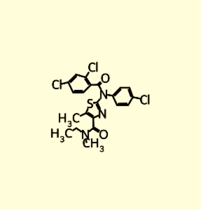 CCN(C)C(=O)c1nc(N(C(=O)c2ccc(Cl)cc2Cl)c2ccc(Cl)cc2)sc1C